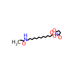 C=CC(=O)NCCCCCCCCCCCC(=O)ON1C(=O)CCC1=O